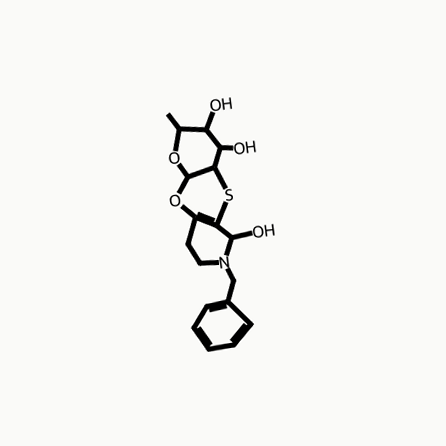 CC1OC2OC3=C(SC2C(O)C1O)C(O)N(Cc1ccccc1)CC3